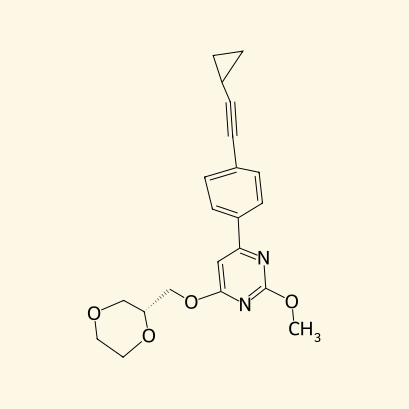 COc1nc(OC[C@H]2COCCO2)cc(-c2ccc(C#CC3CC3)cc2)n1